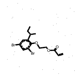 C=CC(=O)OCCOc1c(Br)cc(Br)cc1C(C)CC